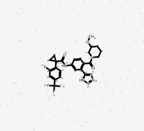 COC1CCCN(C(=O)c2ccc(NC(=O)C3(c4ccc(C(F)(F)F)cc4F)CC3)cc2-c2nnn[nH]2)C1